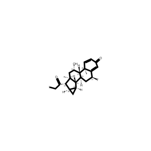 C[C@]12C[C@H](O)[C@H]3[C@@H](C[C@H](F)C4=CC(=O)C=C[C@@]43C)[C@@H]1[C@H]1C[C@H]1[C@@H]2C(=O)CI